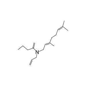 C=CCN(C/C=C(\C)CCC=C(C)C)C(=C)CCC